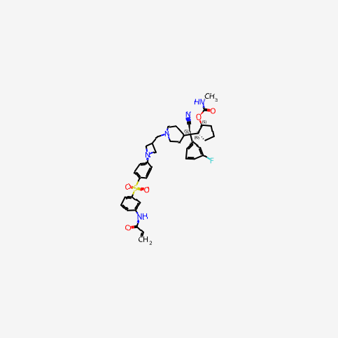 C=CC(=O)Nc1cccc(S(=O)(=O)c2ccc(N3CC(CN4CCC([C@@](C#N)(c5cccc(F)c5)[C@H]5CCC[C@@H]5OC(=O)NC)CC4)C3)cc2)c1